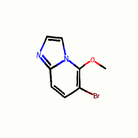 COc1c(Br)ccc2nccn12